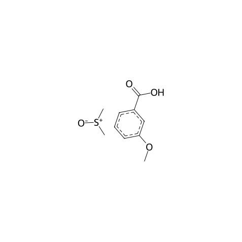 COc1cccc(C(=O)O)c1.C[S+](C)[O-]